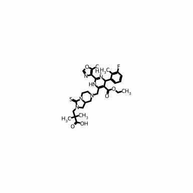 CCOC(=O)C1=C(CN2CCN3C(=S)N(CC(C)(C)C(=O)O)CC3C2)NC(c2ncoc2C)=NC1c1cccc(F)c1C